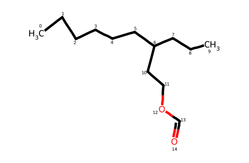 CCCCCCC(CCC)CCOC=O